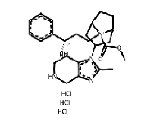 COC(=O)[N+]1(CC[C@H](N)c2ccccc2)C2CCC1CC(n1c(C)nc3c1CCNC3)C2.Cl.Cl.Cl